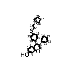 Oc1ccc2c(c1)OC[C@@H](c1ccccc1)[C@H]2c1ccc(SCCN2CCCC2)cc1